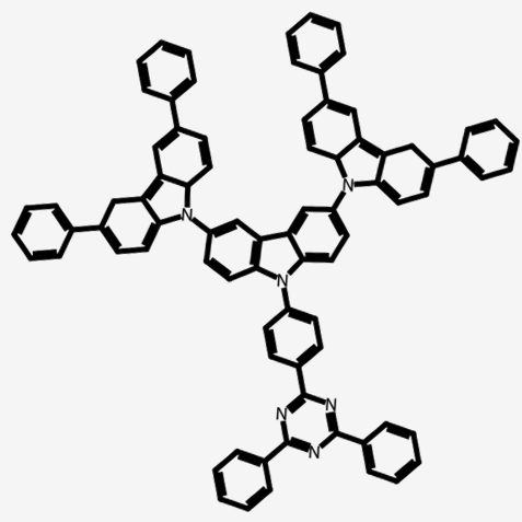 C1=CC2C(=C3CC(c4ccccc4)=CC=C3N2c2ccc3c(c2)c2cc(N4C5=CC=C(c6ccccc6)CC5=C5C=C(c6ccccc6)C=CC54)ccc2n3-c2ccc(-c3nc(-c4ccccc4)nc(-c4ccccc4)n3)cc2)C=C1c1ccccc1